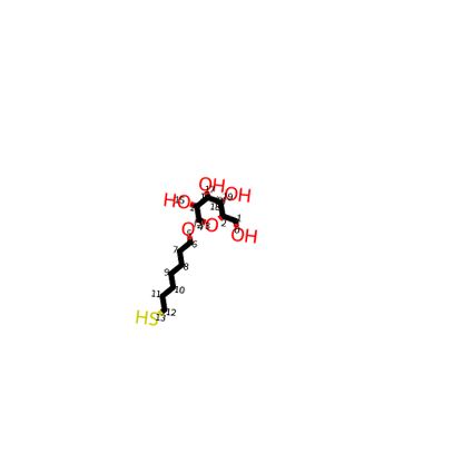 OCC1O[C@H](OCCCCCCCS)C(O)C(O)[C@H]1O